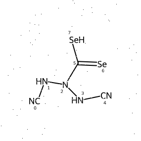 N#CNN(NC#N)C(=[Se])[SeH]